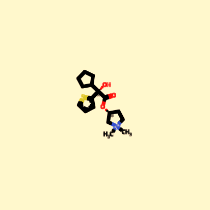 C[N+]1(C)CC[C@@H](OC(=O)[C@@](O)(c2cccs2)C2CCCC2)C1